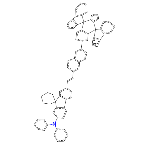 C(=C\c1ccc2cc(-c3ccc4c(c3)C3(c5ccccc5-c5ccccc53)c3ccccc3C43c4ccccc4-c4ccccc43)ccc2c1)/c1ccc2c(c1)C1(CCCCC1)c1cc(N(c3ccccc3)c3ccccc3)ccc1-2